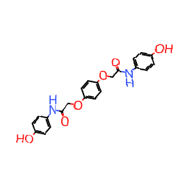 O=C(COc1ccc(OCC(=O)Nc2ccc(O)cc2)cc1)Nc1ccc(O)cc1